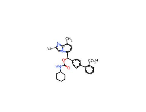 CCc1cn2c([C@H](OC(=O)NC3CCCCC3)c3ccc(-c4ccccc4C(=O)O)cc3)ccc(C)c2n1